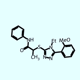 CCn1c(SC(C)C(=O)Nc2ccccc2)nnc1-c1ccccc1OC